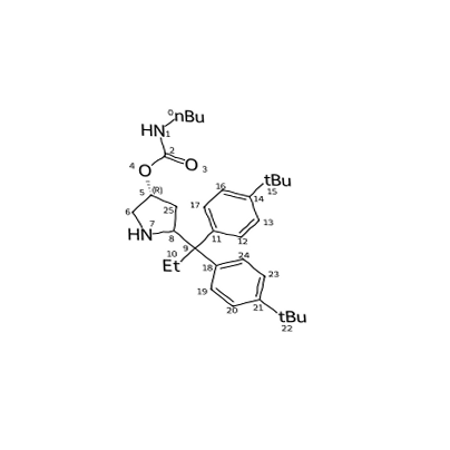 CCCCNC(=O)O[C@H]1CNC(C(CC)(c2ccc(C(C)(C)C)cc2)c2ccc(C(C)(C)C)cc2)C1